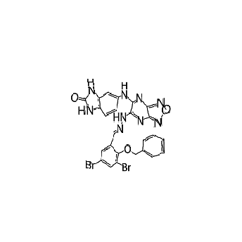 O=c1[nH]c2ccc(Nc3nc4nonc4nc3NN=Cc3cc(Br)cc(Br)c3OCc3ccccc3)cc2[nH]1